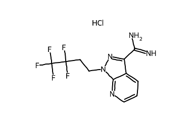 Cl.N=C(N)c1nn(CCC(F)(F)C(F)(F)F)c2ncccc12